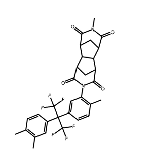 Cc1ccc(C(c2ccc(C)c(N3C(=O)C4CC(C3=O)C3C5CC(C(=O)N(C)C5=O)C43)c2)(C(F)(F)F)C(F)(F)F)cc1C